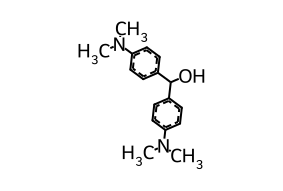 CN(C)c1ccc(C(O)c2ccc(N(C)C)cc2)cc1